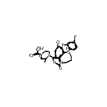 CC1CN(C(=O)O)CCN1c1nc(=O)n2c3c(cc(Cl)cc13)[SH](c1ccc(F)cc1F)CCC2